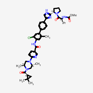 COC(=O)N[C@H](C(=O)N1CCC[C@H]1c1nc(-c2ccc(-c3cc(Cl)c(NC(=O)c4ccc(N5C[C@H](C)N(C(=O)[C@H]6CC6(C)C)C[C@H]5C)nc4)cc3C)cc2)c[nH]1)C(C)C